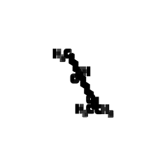 CCCCCNC(=O)CCCCCON=C(C)C